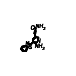 NC(=O)C#Cc1cnc(N)c(-c2nc3ccccc3s2)c1